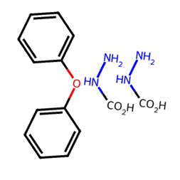 NNC(=O)O.NNC(=O)O.c1ccc(Oc2ccccc2)cc1